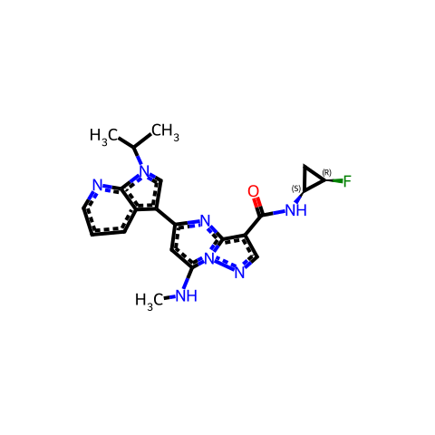 CNc1cc(-c2cn(C(C)C)c3ncccc23)nc2c(C(=O)N[C@H]3C[C@H]3F)cnn12